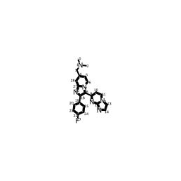 CN(C)Cc1ccn2c(-c3ccn4ccnc4n3)c(-c3ccc(F)cc3)nc2c1